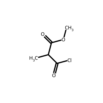 COC(=O)C(C)C(=O)Cl